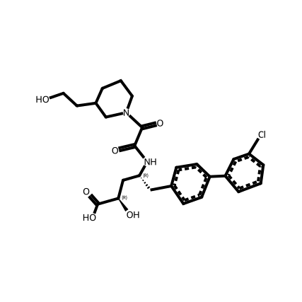 O=C(N[C@H](Cc1ccc(-c2cccc(Cl)c2)cc1)C[C@@H](O)C(=O)O)C(=O)N1CCCC(CCO)C1